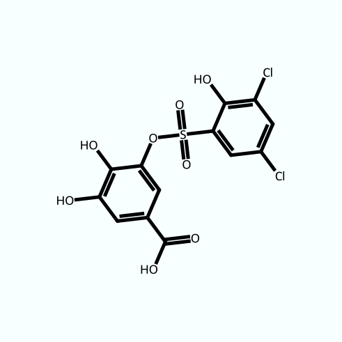 O=C(O)c1cc(O)c(O)c(OS(=O)(=O)c2cc(Cl)cc(Cl)c2O)c1